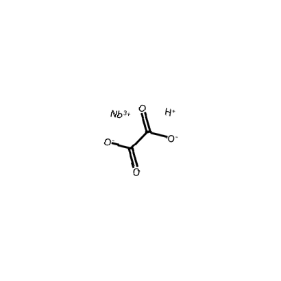 O=C([O-])C(=O)[O-].[H+].[Nb+3]